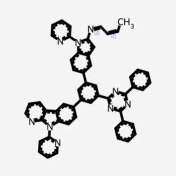 C/C=C\C=N/c1cc2cc(-c3cc(-c4ccc5c(c4)c4cccnc4n5-c4ccccn4)cc(-c4nc(-c5ccccc5)nc(-c5ccccc5)n4)c3)ccc2n1-c1ccccn1